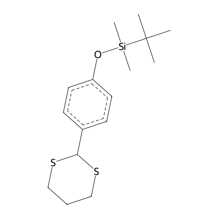 CC(C)(C)[Si](C)(C)Oc1ccc(C2SCCCS2)cc1